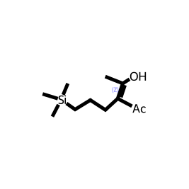 CC(=O)/C(CCC[Si](C)(C)C)=C(/C)O